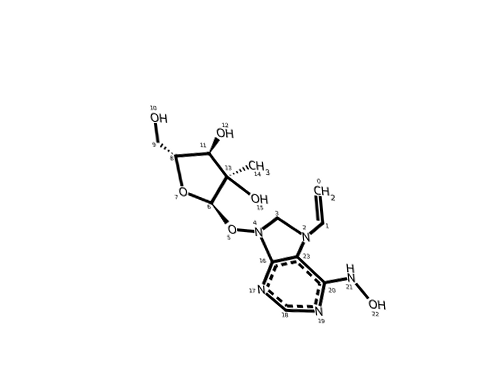 C=CN1CN(O[C@H]2O[C@H](CO)[C@@H](O)[C@@]2(C)O)c2ncnc(NO)c21